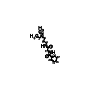 CCN(CC)CCCNC(=O)CNC(=O)c1ccccc1